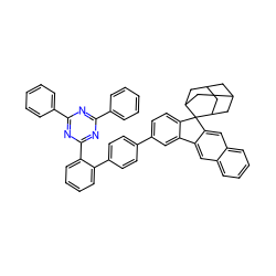 c1ccc(-c2nc(-c3ccccc3)nc(-c3ccccc3-c3ccc(-c4ccc5c(c4)-c4cc6ccccc6cc4C54C5CC6CC(C5)CC4C6)cc3)n2)cc1